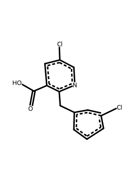 O=C(O)c1cc(Cl)cnc1Cc1cccc(Cl)c1